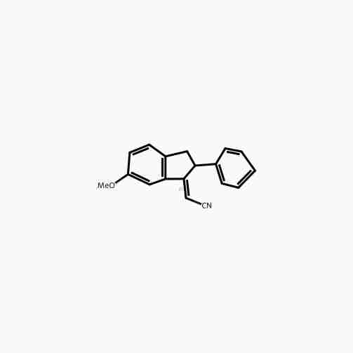 COc1ccc2c(c1)/C(=C/C#N)C(c1ccccc1)C2